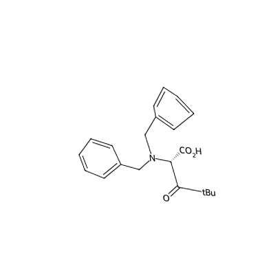 CC(C)(C)C(=O)[C@@H](C(=O)O)N(Cc1ccccc1)Cc1ccccc1